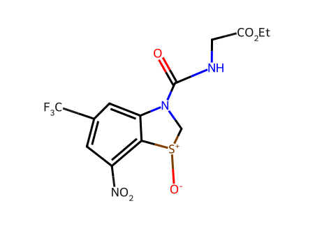 CCOC(=O)CNC(=O)N1C[S+]([O-])c2c1cc(C(F)(F)F)cc2[N+](=O)[O-]